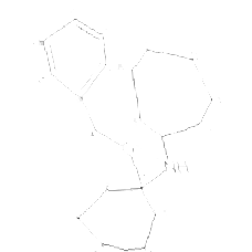 c1ccc(COC2(NC3CCCCCC3)CCCCC2)cc1